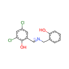 Oc1ccccc1C/N=C/c1cc(Cl)cc(Cl)c1O